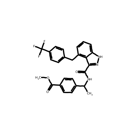 COC(=O)c1ccc(C(C)NC(=O)c2n[nH]c3cccc(Cc4ccc(C(F)(F)F)cc4)c23)cc1